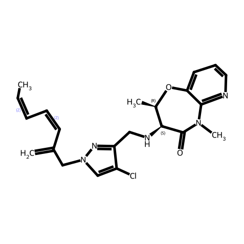 C=C(/C=C\C=C/C)Cn1cc(Cl)c(CN[C@@H]2C(=O)N(C)c3ncccc3O[C@@H]2C)n1